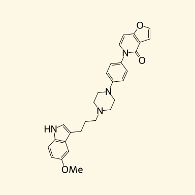 COc1ccc2[nH]cc(CCCN3CCN(c4ccc(-n5ccc6occc6c5=O)cc4)CC3)c2c1